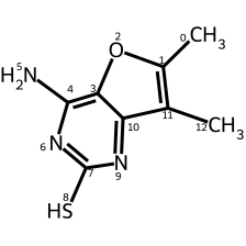 Cc1oc2c(N)nc(S)nc2c1C